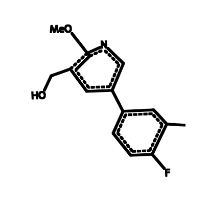 COc1ncc(-c2ccc(F)c(C)c2)cc1CO